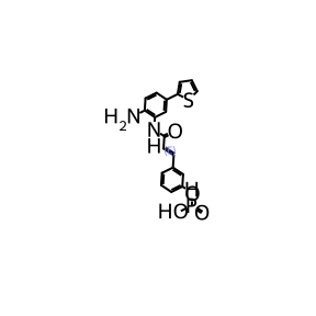 Nc1ccc(-c2cccs2)cc1NC(=O)/C=C/c1cccc(O[PH](=O)O)c1